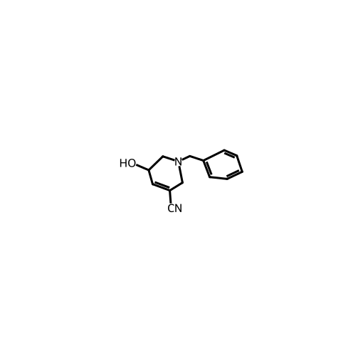 N#CC1=CC(O)CN(Cc2ccccc2)C1